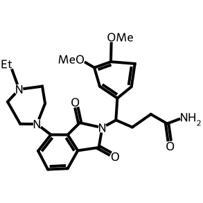 CCN1CCN(c2cccc3c2C(=O)N(C(CCC(N)=O)c2ccc(OC)c(OC)c2)C3=O)CC1